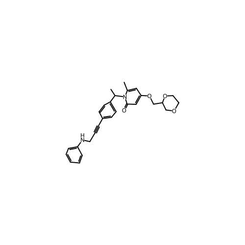 Cc1cc(OCC2COCCO2)cc(=O)n1C(C)c1ccc(C#CCNc2ccccc2)cc1